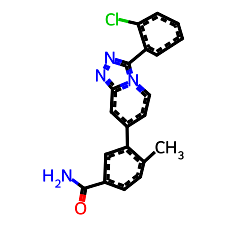 Cc1ccc(C(N)=O)cc1-c1ccn2c(-c3ccccc3Cl)nnc2c1